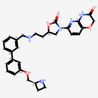 O=C1COc2ccc(N3CC(CCNCc4cccc(-c5cccc(OC[C@@H]6CCN6)c5)c4)OC3=O)nc2N1